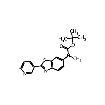 CN(C(=O)OC(C)(C)C)c1ccc2nc(-c3cc[c]nc3)sc2c1